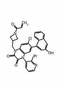 C=CC(=O)N1CC(Cn2c(=O)c(=O)n(-c3cccnc3C(C)C)c3cc(-c4cc(O)cc5ccccc45)c(Cl)cc32)C1